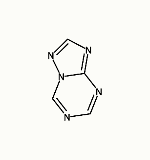 c1ncn2ncnc2n1